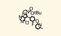 Cc1cccc(Oc2ccc(-c3c4n(c5ncnc(Cl)c35)CCN4C(=O)OC(C)(C)C)cc2F)n1